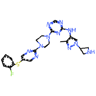 Cc1nn(C2CNC2)cc1Nc1ncnc(N2CCN(c3ncc(Sc4ccccc4F)cn3)CC2)n1